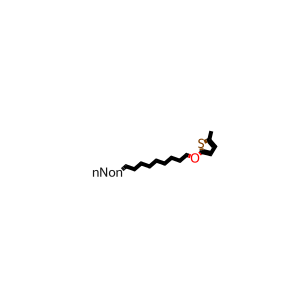 CCCCCCCCCCCCCCCCCCOc1ccc(C)s1